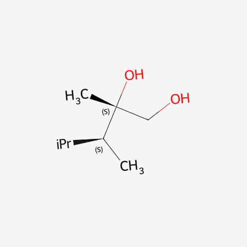 CC(C)[C@H](C)[C@](C)(O)CO